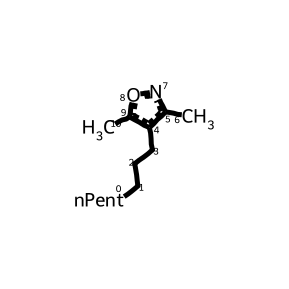 CCCCCCCCc1c(C)noc1C